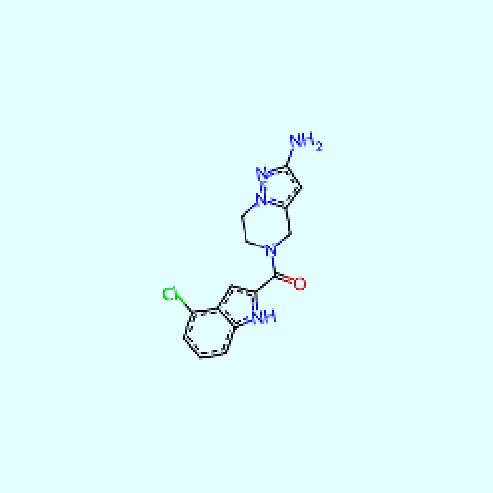 Nc1cc2n(n1)CCN(C(=O)c1cc3c(Cl)cccc3[nH]1)C2